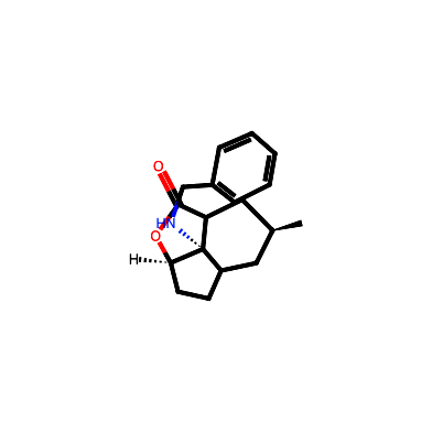 C[C@H]1CC2CC[C@H]3OC(=O)C(C1)[C@@]23NCc1ccccc1